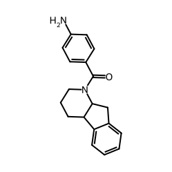 Nc1ccc(C(=O)N2CCCC3c4ccccc4CC32)cc1